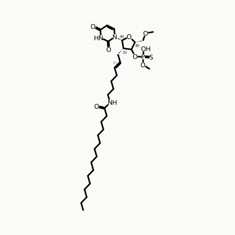 CCCCCCCCCCCCCCCC(=O)NCCCC/C=C/C[C@H]1C(OP(O)(=S)OC)[C@@H](COC)O[C@H]1n1ccc(=O)[nH]c1=O